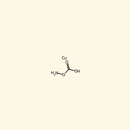 NOC(=O)O.[Cu]